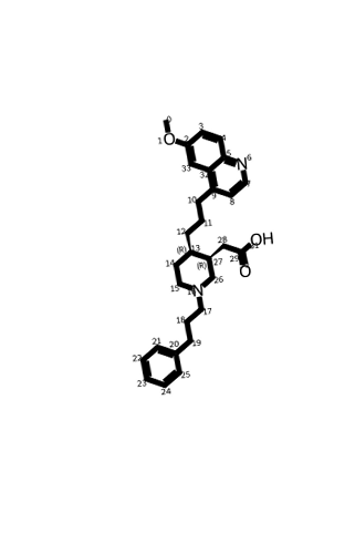 COc1ccc2nccc(CCC[C@@H]3CCN(CCCc4ccccc4)C[C@@H]3CC(=O)O)c2c1